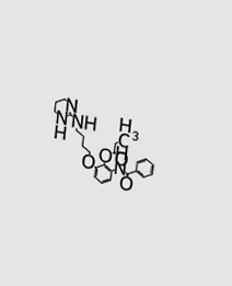 CCC(=O)Oc1c(NC(=O)c2ccccc2)cccc1OCCCCNC1=NCCCN1